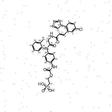 O=C(/C=C/c1cc(Cl)ccc1-n1cnnn1)N[C@@H](Cc1ccccc1)C(=O)Nc1ccc(NC(=O)OCCP(=O)(O)O)cc1